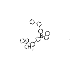 Cc1c(-c2cccc(-c3ccc(N(c4ccc(-c5cccc(-c6ccccc6)c5)cc4)c4cccc5ccccc45)cc3)c2)oc2ccccc12